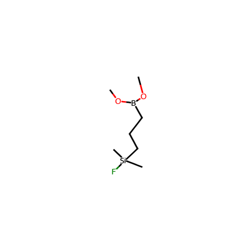 COB(CCC[Si](C)(C)F)OC